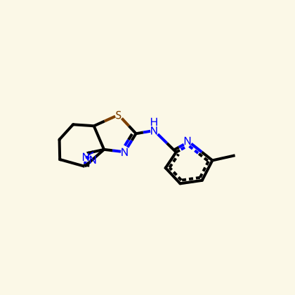 Cc1cccc(NC2=NC34C=NN=C3CCCC4S2)n1